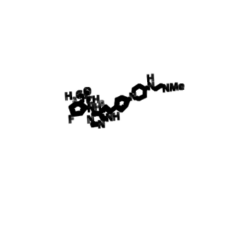 CNCCNC1CCN(c2ccc(-c3cc4c(Nc5cc(F)ccc5P(C)(C)=O)ncnc4[nH]3)cc2)CC1